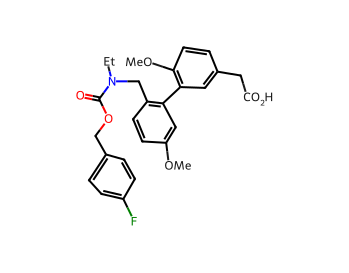 CCN(Cc1ccc(OC)cc1-c1cc(CC(=O)O)ccc1OC)C(=O)OCc1ccc(F)cc1